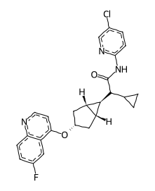 O=C(Nc1ccc(Cl)cn1)C(C1CC1)[C@H]1[C@@H]2C[C@H](Oc3ccnc4ccc(F)cc34)C[C@@H]21